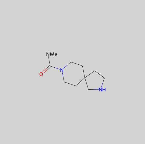 CNC(=O)N1CCC2(CCNC2)CC1